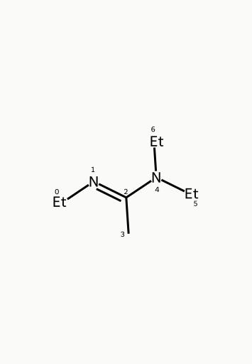 CC/N=C(\C)N(CC)CC